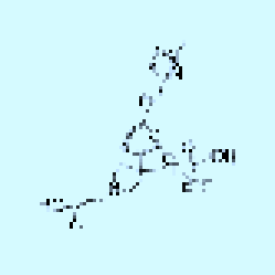 Cn1ccc(COc2ccc3c(c2)OCC32CCN(CCC(=O)O)CC2)n1.O=C(O)C(F)(F)F